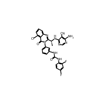 C[C@H](Nc1ncnc(N)c1C#N)c1nc2cccc(Cl)c2c(=O)n1-c1cccc(NC(=O)Nc2ccc(F)cc2F)c1